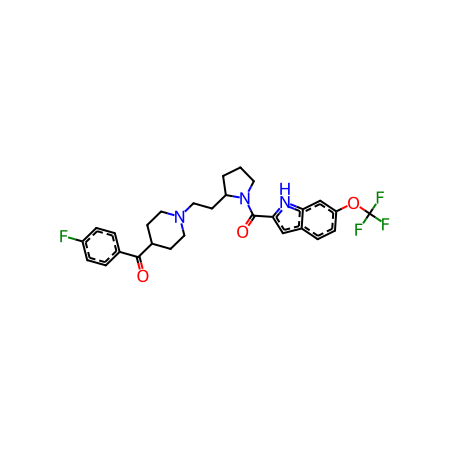 O=C(c1ccc(F)cc1)C1CCN(CCC2CCCN2C(=O)c2cc3ccc(OC(F)(F)F)cc3[nH]2)CC1